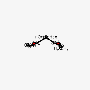 C=C(C)C(=O)OCC1CC2CC1[C@H]1CC(COC(=O)CCCCCCCCC3C(CCCCCC)CCC(CCCCCCCC)C3CCCCCCCCC(=O)OCC3CC4CC3[C@H]3CC(COC(=O)C5CCC6OC6C5)C[C@@H]43)C[C@@H]21